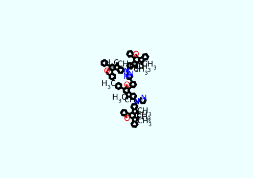 Cc1ccc(-c2cc3c(c4c2oc2c(-c5cnc(N(c6ccc7c(c6)C(C)(C)c6cc(-c8ccccc8)c8c(c6-7)-c6ccccc6CO8)c6ccc7c(c6)C(C)(C)c6c8c(c9oc%10ccccc%10c9c6-7)-c6ccccc6C8(C)C)nc5)cccc24)-c2ccc(N(c4cccnc4)c4ccc5c(c4)C(C)(C)c4c6c(c7oc8ccccc8c7c4-5)-c4ccccc4C6(C)C)cc2C3(C)C)cc1